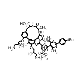 COc1c(OC[C@H](O)CN)cc2cc1-c1cc(ccc1OC[C@H](O)CN)C[C@@H](C(=O)O)NC(=O)[C@H](C)NC(=O)[C@H]2N(C)C(=O)[C@H](CNS(N)(=O)=O)NC(=O)c1c(C)nc(-c2ccc(C(C)(C)C)cc2)nc1N